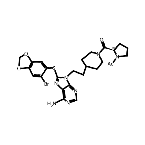 CC(=O)N1CCC[C@@H]1C(=O)N1CCC(CCn2c(Sc3cc4c(cc3Br)OCO4)nc3c(N)ncnc32)CC1